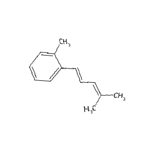 CC(C)=CC=Cc1ccccc1C